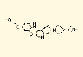 COCCOc1ccc(Nc2ccnc3cc(N4CCN(C5CN(C)C5)CC4)ccc23)c(OC)c1